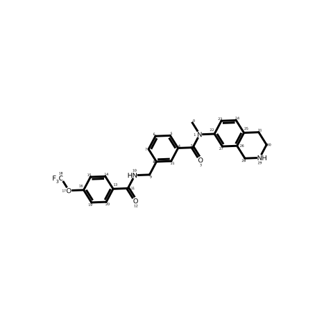 CN(C(=O)c1cccc(CNC(=O)c2ccc(OC(F)(F)F)cc2)c1)c1ccc2c(c1)CNCC2